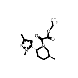 Cc1cc([C@H]2CC[C@H](C)CN2C(=O)C(=O)OCC(F)(F)F)n(C)n1